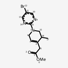 COC(=O)CC1=CCN(c2ncc(Br)cn2)CC1C